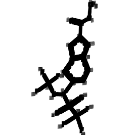 COC(=O)c1cc2cc(N(SC(F)(F)F)S(=O)(=O)C(F)(F)F)ccc2s1